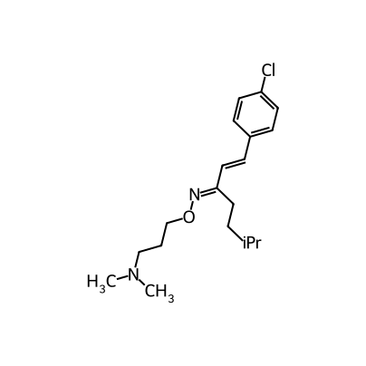 CC(C)CCC(/C=C/c1ccc(Cl)cc1)=N\OCCCN(C)C